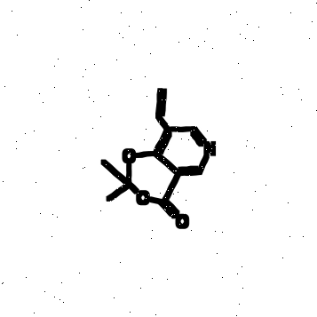 C=Cc1cncc2c1OC(C)(C)OC2=O